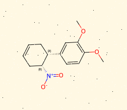 COc1ccc([C@H]2CC=CC[C@H]2[N+](=O)[O-])cc1OC